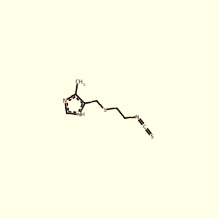 Cc1nc[nH]c1CSCCN=C=S